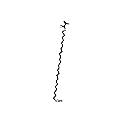 C=C(C)C(=O)OCCCCCCCCCCCCCCCCCCCCCCCCCCCCCCCCCCC